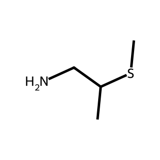 CSC(C)CN